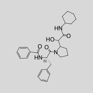 O=C(N[C@@H](Cc1ccccc1)C(=O)N1CCCC1C(O)C(=O)NC1CCCCC1)c1ccccc1